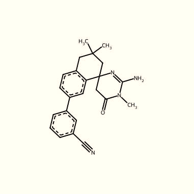 CN1C(=O)CC2(CC(C)(C)Cc3ccc(-c4cccc(C#N)c4)cc32)N=C1N